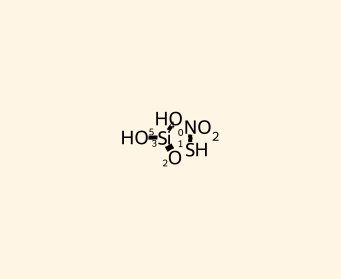 O=[N+]([O-])S.O=[Si](O)O